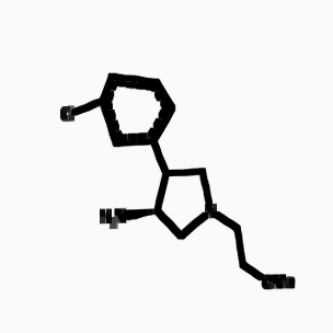 COCCN1CC(c2cccc(Cl)c2)[C@H](N)C1